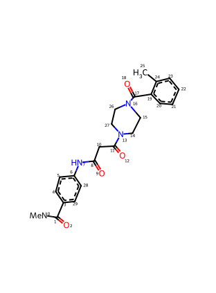 CNC(=O)c1ccc(NC(=O)CC(=O)N2CCN(C(=O)c3ccccc3C)CC2)cc1